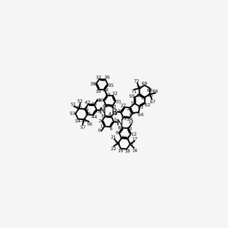 Cc1cc2c3c(c1)N(c1cc4c(cc1C)C(C)(C)CCC4(C)C)c1cc4c(cc1B3c1ccc(-c3ccccc3)cc1N2c1cc2c(cc1C)C(C)(C)CCC2(C)C)-c1cc2c(cc1C4)C(C)(C)CCC2(C)C